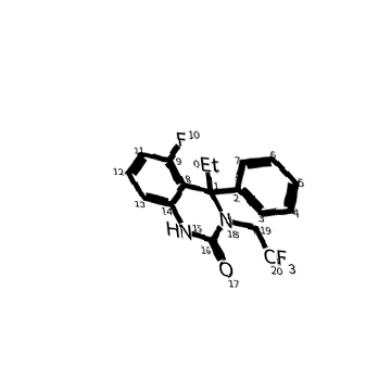 CCC1(c2ccccc2)c2c(F)cccc2NC(=O)N1CC(F)(F)F